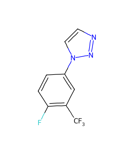 Fc1ccc(-n2ccnn2)cc1C(F)(F)F